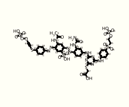 CC(=O)Nc1cc(N=Nc2ccc(Nc3nc(Nc4ccc(S(=O)(=O)CCOS(=O)(=O)O)cc4)nc(SCC(=O)O)n3)cc2NC(N)=O)c(S(=O)(=O)O)cc1N=Nc1ccc(SC#COOS(=O)(=O)O)cc1